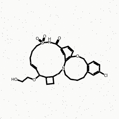 O=C1NS(=O)(=O)CCC/C=C/C(OCCO)C2CCC2CN2CCCCc3cc(Cl)ccc3COc3ccc1cc32